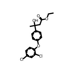 CCOC(=O)CC(C)(O)c1ccc(Oc2ccc(Cl)cc2Cl)cc1